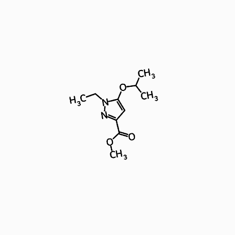 CCn1nc(C(=O)OC)cc1OC(C)C